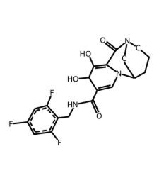 O=C(NCc1c(F)cc(F)cc1F)C1=CN2C(=C(O)C1O)C(=O)N1CCCC2CC1